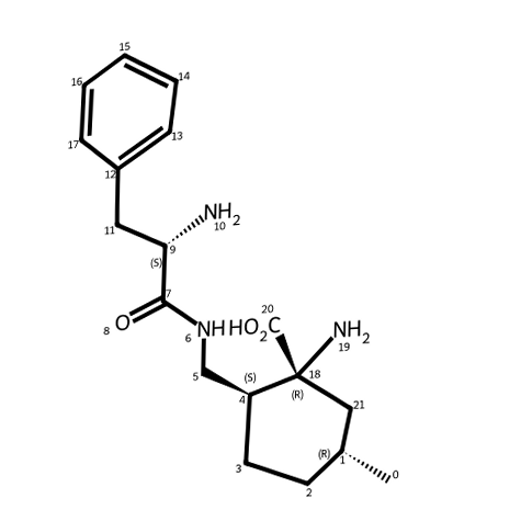 C[C@@H]1CC[C@@H](CNC(=O)[C@@H](N)Cc2ccccc2)[C@@](N)(C(=O)O)C1